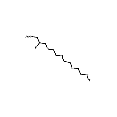 CC(=O)NCC(F)COCCOCCOCCNC(C)C